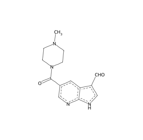 CN1CCN(C(=O)c2cnc3[nH]cc(C=O)c3c2)CC1